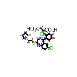 Clc1ccc2c(c1)C(c1ccccc1Cl)=NCC(SCCN1CCCC1)=N2.O=C(O)/C=C/C(=O)O